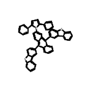 c1ccc(-c2ccc(-c3ccccc3)n2-c2ccc3c(-c4ccc5sc6ccccc6c5c4)c4ccccc4c(-c4ccc5sc6ccccc6c5c4)c3c2)cc1